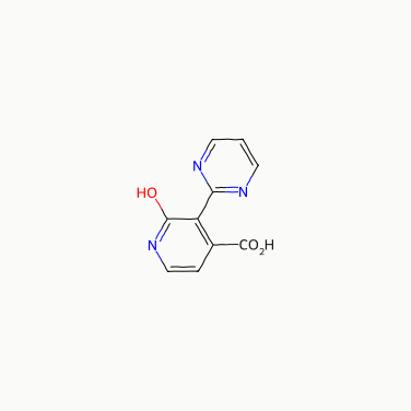 O=C(O)c1ccnc(O)c1-c1ncccn1